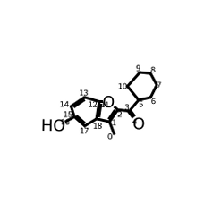 Cc1c(C(=O)C2CCCCC2)oc2ccc(O)cc12